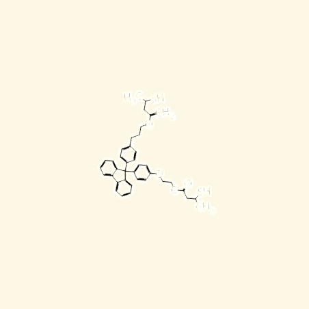 C=C(CC(C)S)OCCCc1ccc(C2(c3ccc(OCCOC(=O)CC(C)S)cc3)c3ccccc3-c3ccccc32)cc1